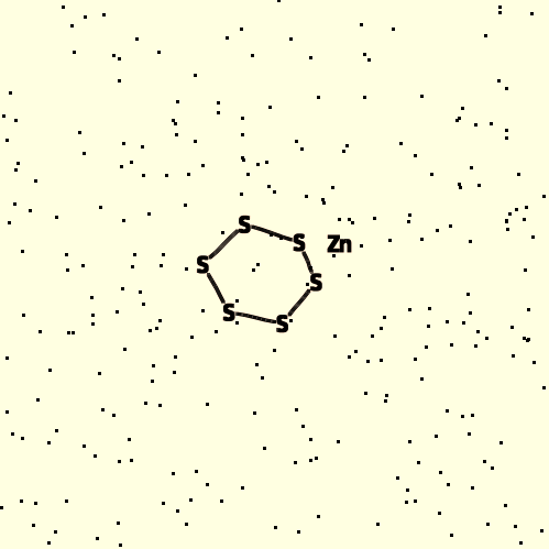 S1SSSSS1.[Zn]